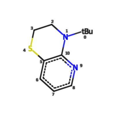 CC(C)(C)N1CCSc2cccnc21